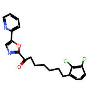 O=C(CCCCCCc1cccc(Cl)c1Cl)c1ncc(-c2ccccn2)o1